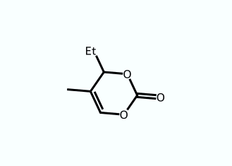 CCC1OC(=O)OC=C1C